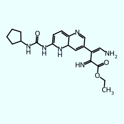 CCOC(=O)C(=N)/C(=C\N)C1=CC2NC(NC(=O)NC3CCCC3)=CC=C2N=C1